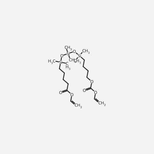 C=COC(=O)CCCC[Si](C)(C)O[Si](C)(C)O[Si](C)(C)CCCCOC(=O)OC=C